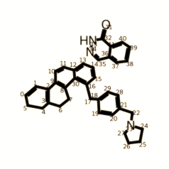 C1=CC2=C(CC1)CCc1c2ccc2cccc(Cc3ccc(CN4CCCC4)cc3)c12.O=c1[nH]ncc2ccccc12